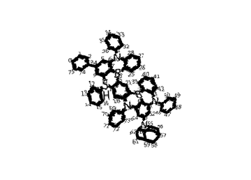 c1ccc(-c2cc3c4c(c2)[SH](c2ccccc2)c2cc5c(cc2B4c2ccccc2N3c2ccccc2)B2c3ccccc3N(c3ccccc3)c3cc(N4C6CC7CC(C6)CC4C7)cc(c32)N5c2ccccc2)cc1